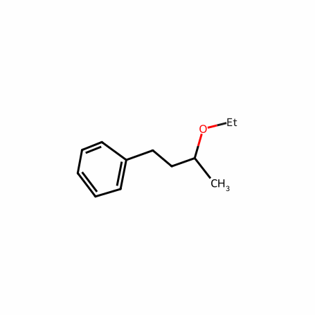 CCOC(C)CCc1ccccc1